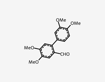 COc1ccc(-c2cc(OC)c(OC)cc2C=O)cc1OC